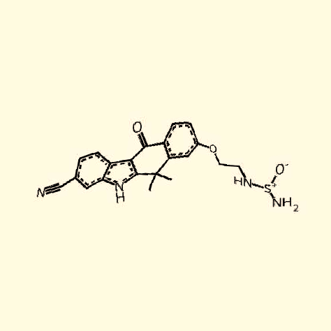 CC1(C)c2cc(OCCN[S+](N)[O-])ccc2C(=O)c2c1[nH]c1cc(C#N)ccc21